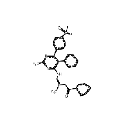 CS(=O)(=O)c1ccc(-c2nc(C(F)(F)F)nc(NN=C(CC(=O)c3ccccc3)C(F)(F)F)c2-c2ccccc2)cc1